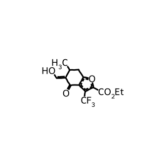 CCOC(=O)c1oc2c(c1C(F)(F)F)C(=O)C(=CO)C(C)C2